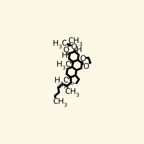 CCC/C=C\[C@@H](C)[C@H]1CCC2C3CC4(OCCO4)C4C[C@@H]5OC(C)(C)O[C@@H]5C[C@]4(C)C3CC[C@@]21C